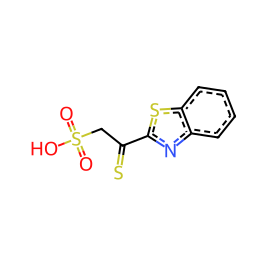 O=S(=O)(O)CC(=S)c1nc2ccccc2s1